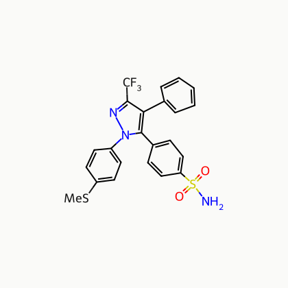 CSc1ccc(-n2nc(C(F)(F)F)c(-c3ccccc3)c2-c2ccc(S(N)(=O)=O)cc2)cc1